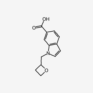 O=C(O)c1ccc2ccn(CC3CCO3)c2c1